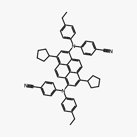 CCc1ccc(N(c2ccc(C#N)cc2)c2cc(C3CCCC3)c3ccc4c(N(c5ccc(C#N)cc5)c5ccc(CC)cc5)cc(C5CCCC5)c5ccc2c3c54)cc1